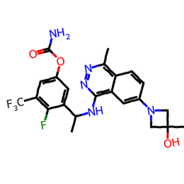 Cc1nnc(NC(C)c2cc(OC(N)=O)cc(C(F)(F)F)c2F)c2cc(N3CC(C)(O)C3)ccc12